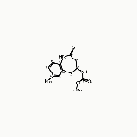 CC(C)(C)OC(=O)NC1CC(=S)Nc2ccc(Br)cc2C1